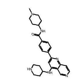 CN1CCC(NC(=O)c2ccc(-c3cc(NC4CCNCC4)c4cnccc4n3)cc2)CC1